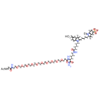 CC[N+]1=C(/C=C/C=C/C=C2/N(CCCCCC(=O)NCCCC[C@H](NC(=O)CCOCCOCCOCCOCCOCCOCCOCCOCCOCCOCCNC(=O)CNC(C)=O)C(N)=O)c3ccc(S(=O)(=O)O)cc3C2(C)C)C(C)(C)c2cc(S(=O)(=O)[O-])ccc21